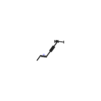 C/C=C/C#CNI